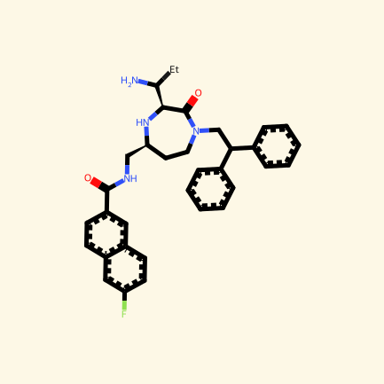 CCC(N)[C@@H]1N[C@H](CNC(=O)c2ccc3cc(F)ccc3c2)CCN(CC(c2ccccc2)c2ccccc2)C1=O